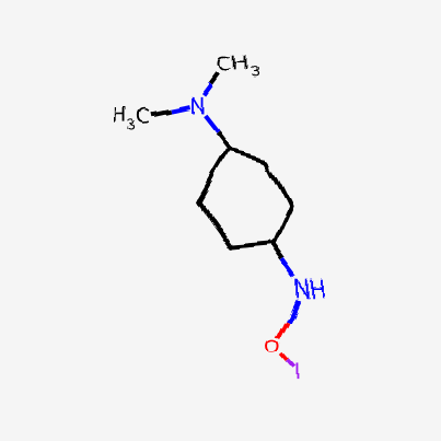 CN(C)C1CCC(NOI)CC1